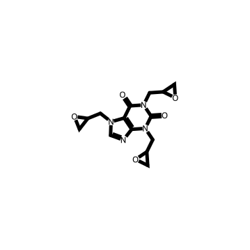 O=c1c2c(ncn2CC2CO2)n(CC2CO2)c(=O)n1CC1CO1